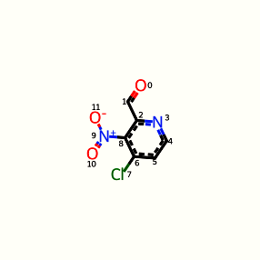 O=Cc1nccc(Cl)c1[N+](=O)[O-]